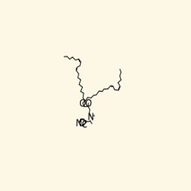 CCCCC/C=C\C/C=C\CCCCCCCCC1(CCCCCCCC/C=C\C/C=C\CCCCC)OCC(CCN(C)C(C)c2ccncc2)O1